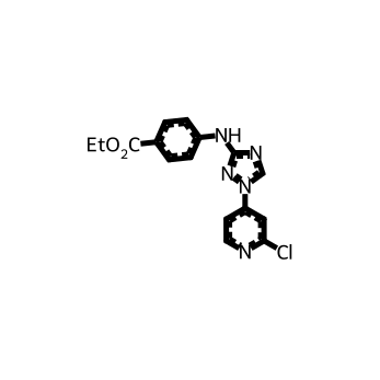 CCOC(=O)c1ccc(Nc2ncn(-c3ccnc(Cl)c3)n2)cc1